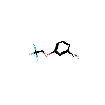 Cc1[c]c(OCC(F)(F)F)ccc1